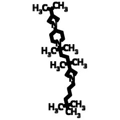 CC(C)C1CN(C2CCN(C(C)(C)CCC(C)(C)C3CN(CCCCC(C)(C)C)C3)CC2)C1